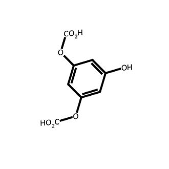 O=C(O)Oc1cc(O)cc(OC(=O)O)c1